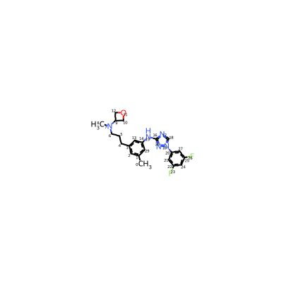 Cc1cc(CCCN(C)C2COC2)cc(Nc2ncn(-c3cc(F)cc(F)c3)n2)c1